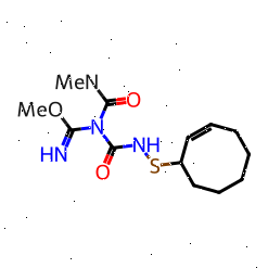 CNC(=O)N(C(=N)OC)C(=O)NSC1/C=C\CCCCC1